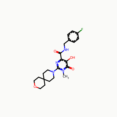 Cn1c(N2CCC3(CCOCC3)CC2)nc(C(=O)NCc2ccc(F)cc2)c(O)c1=O